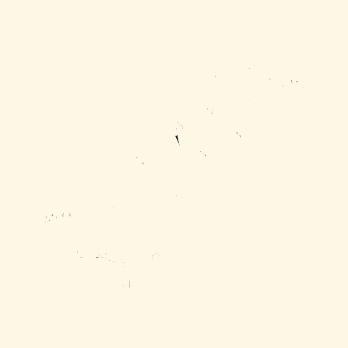 COC(=O)c1cc2nc3n(c2cc1S(C)(=O)=O)CCN(c1ncc(C(=O)OC)c(Cl)n1)[C@@H]3C(C)C